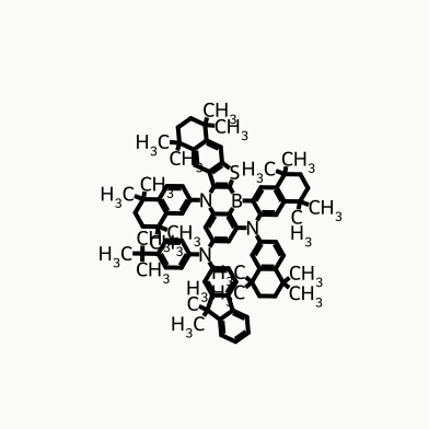 CC(C)(C)c1ccc(N(c2cc3c4c(c2)N(c2ccc5c(c2)C(C)(C)CCC5(C)C)c2c(sc5cc6c(cc25)C(C)(C)CCC6(C)C)B4c2cc4c(cc2N3c2ccc3c(c2)C(C)(C)CCC3(C)C)C(C)(C)CCC4(C)C)c2ccc3c(c2)C(C)(C)c2ccccc2-3)cc1